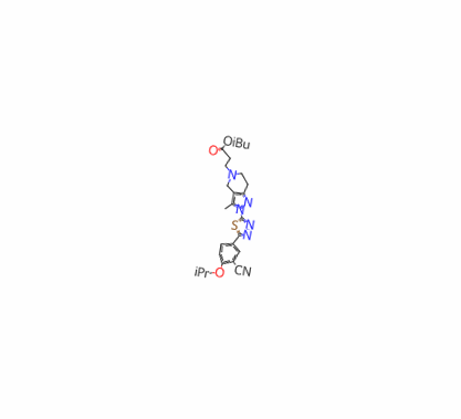 Cc1c2c(nn1-c1nnc(-c3ccc(OC(C)C)c(C#N)c3)s1)CCN(CCC(=O)OCC(C)C)C2